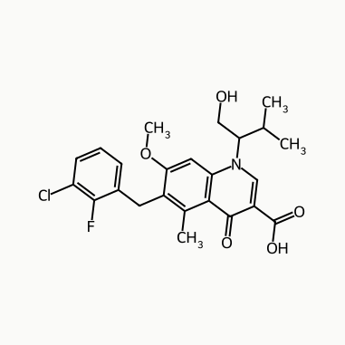 COc1cc2c(c(C)c1Cc1cccc(Cl)c1F)c(=O)c(C(=O)O)cn2C(CO)C(C)C